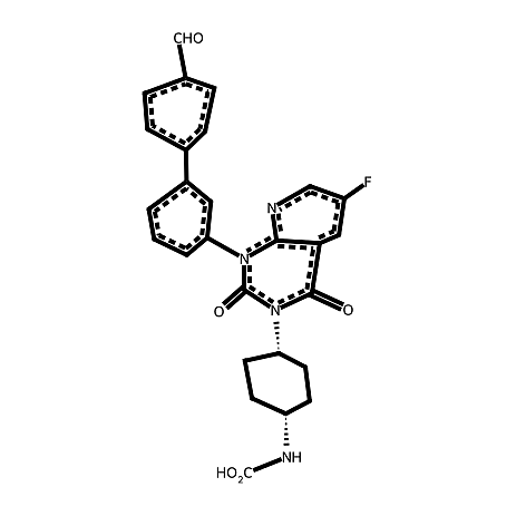 O=Cc1ccc(-c2cccc(-n3c(=O)n([C@H]4CC[C@@H](NC(=O)O)CC4)c(=O)c4cc(F)cnc43)c2)cc1